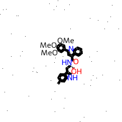 COc1cc(-c2cc(C(=O)N[C@H](CO)Cc3c[nH]c4cc(C)ccc34)c3ccccc3n2)cc(OC)c1OC